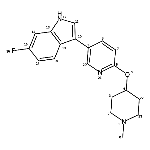 CN1CCC(Oc2ccc(-c3c[nH]c4cc(F)ccc34)cn2)CC1